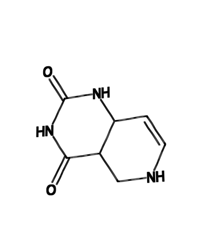 O=C1NC(=O)C2CNC=CC2N1